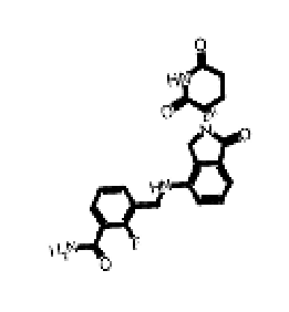 NC(=O)c1cccc(CNc2cccc3c2CN([C@H]2CCC(=O)NC2=O)C3=O)c1F